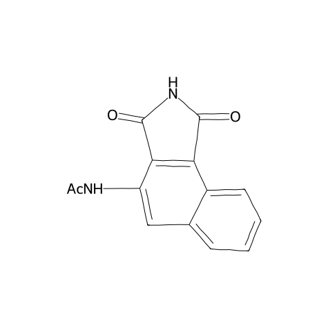 CC(=O)Nc1cc2ccccc2c2c1C(=O)NC2=O